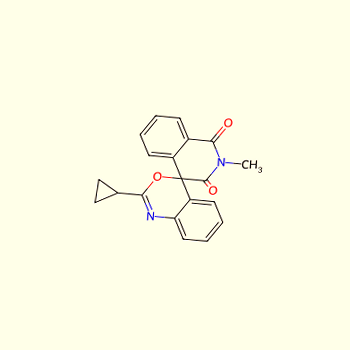 CN1C(=O)c2ccccc2C2(OC(C3CC3)=Nc3ccccc32)C1=O